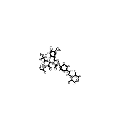 COc1cc(-c2nn(-c3ccc(CCN4C(C)COCC4C)cc3)c(=O)n2C(OC(=O)C(F)(F)F)C(=O)NC(C)C)ccc1F